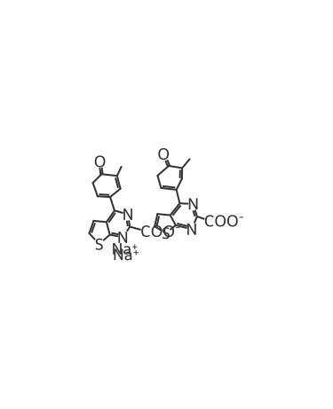 CC1=CC(c2nc(C(=O)[O-])nc3sccc23)=CCC1=O.CC1=CC(c2nc(C(=O)[O-])nc3sccc23)=CCC1=O.[Na+].[Na+]